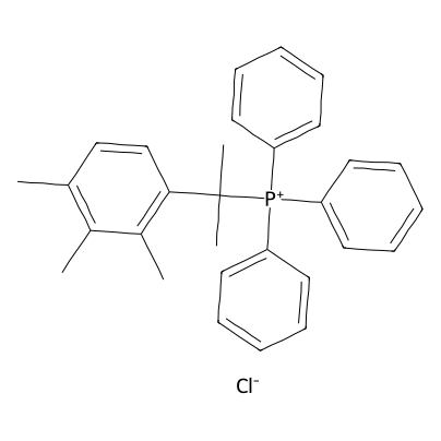 Cc1ccc(C(C)(C)[P+](c2ccccc2)(c2ccccc2)c2ccccc2)c(C)c1C.[Cl-]